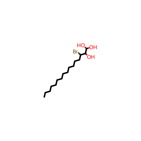 CCCCCCCCCCCCCC(Br)C(O)C(O)O